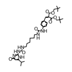 CC(C)c1cc(=O)nc(NC(=O)NCCCCCCNC(=O)Nc2ccc(C=C(C(=O)OCC(C)(C)C)C(=O)OCC(C)(C)C)cc2)[nH]1